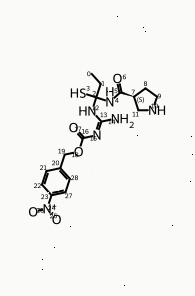 CCC(S)(NC(=O)[C@H]1CCNC1)NC(N)=NC(=O)OCc1ccc([N+](=O)[O-])cc1